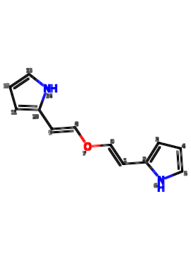 C(=Cc1ccc[nH]1)OC=Cc1ccc[nH]1